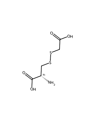 N[C@@H](CSSCC(=O)O)C(=O)O